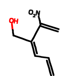 C=C/C=C(/CO)C(=C)[N+](=O)[O-]